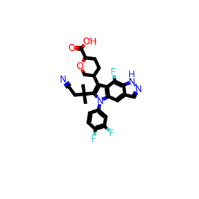 CC(C)(CC#N)c1c(C2CCC(C(=O)O)OC2)c2c(F)c3[nH]ncc3cc2n1-c1ccc(F)c(F)c1